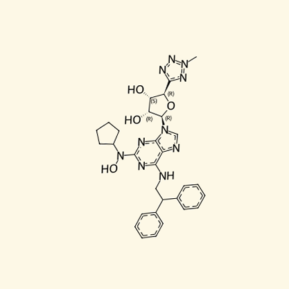 Cn1nnc([C@H]2O[C@@H](n3cnc4c(NCC(c5ccccc5)c5ccccc5)nc(N(O)C5CCCC5)nc43)[C@H](O)[C@@H]2O)n1